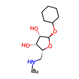 CCC(C)NC[C@H]1O[C@H](OC2CCCCC2)[C@@H](O)[C@H]1O